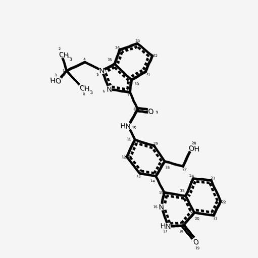 CC(C)(O)Cn1nc(C(=O)Nc2ccc(-c3n[nH]c(=O)c4ccccc34)c(CO)c2)c2ccccc21